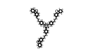 c1ccc2c(c1)oc1ccc(CCCc3ccc(-c4nc(-c5ccc(CCCc6ccc7oc8ccccc8c7c6)cc5)nc(-c5ccc(CCCc6ccc7oc8ccccc8c7c6)cc5)n4)cc3)cc12